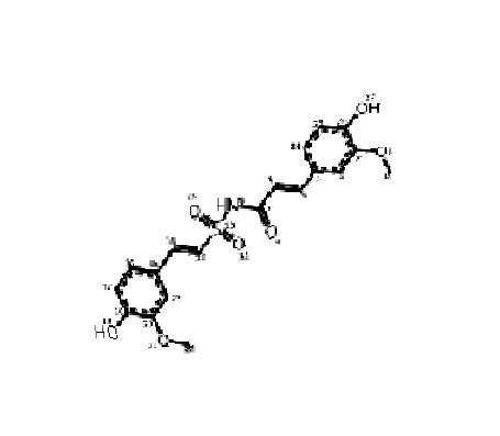 COc1cc(/C=C/C(=O)NS(=O)(=O)/C=C/c2ccc(O)c(OC)c2)ccc1O